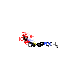 CN1CCN(c2ccc3cc(-c4ccc(/C=C(\C#N)C(=O)N[C@H]5C(O)O[C@H](CO)[C@@H](O)[C@@H]5O)s4)ccc3c2)CC1